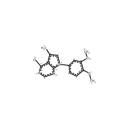 COc1ccc(-n2cc(C)c3c(Cl)ncnc32)cc1OC